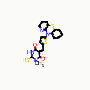 CN1C(=O)/C(=C/c2ccc(N3c4ccccc4Sc4cccnc43)s2)C(=O)NC1S